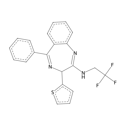 FC(F)(F)CNC1=Nc2ccccc2C(c2ccccc2)=NC1c1cccs1